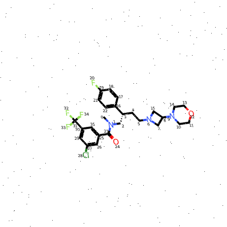 CN(C[C@@H](CCN1CC(N2CCOCC2)C1)c1ccc(F)cc1)C(=O)c1cc(Cl)cc(C(F)(F)F)c1